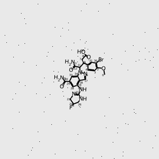 COc1ccc([C@H](CC(=O)O)C(C(N)=O)n2ncc3c(NC4=NCC(F)CN4)cc(C(N)=O)cc32)cc1Br